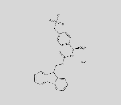 O=C(N[C@H](C(=O)O)c1ccc(CS(=O)(=O)[O-])cc1)OCC1c2ccccc2-c2ccccc21.[Na+]